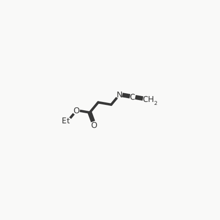 C=C=NCCC(=O)OCC